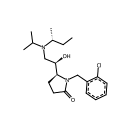 CC[C@@H](C)N(C[C@@H](O)[C@@H]1CCC(=O)N1Cc1ccccc1Cl)C(C)C